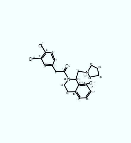 O=C(Cc1ccc(Cl)c(Cl)c1)N1CCc2cccc(O)c2C1CN1CCCC1